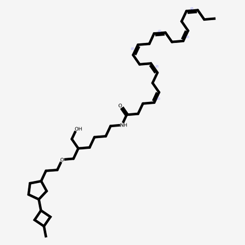 CC/C=C\C/C=C\C/C=C\C/C=C\C/C=C\C/C=C\CCC(=O)NCCCCC(CO)COCCC1CCC(C2CC(C)C2)C1